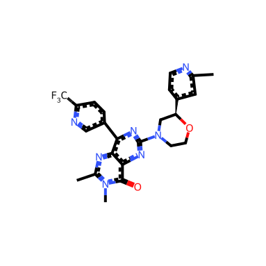 Cc1cc([C@@H]2CN(c3nc(-c4ccc(C(F)(F)F)nc4)c4nc(C)n(C)c(=O)c4n3)CCO2)ccn1